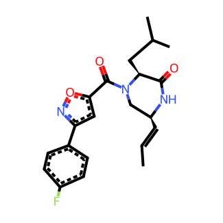 C/C=C/[C@H]1CN(C(=O)c2cc(-c3ccc(F)cc3)no2)[C@@H](CC(C)C)C(=O)N1